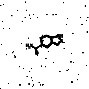 NC(=O)c1[c]cc2[nH]ncc2c1